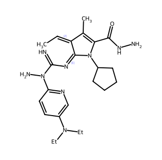 C/C=C1/C(C)=C(C(=O)NN)N(C2CCCC2)/C1=N/C(=N)N(N)c1ccc(N(CC)CC)cn1